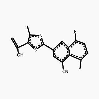 C=C(O)c1sc(-c2cc(C#N)c3c(C)ccc(F)c3c2)nc1C